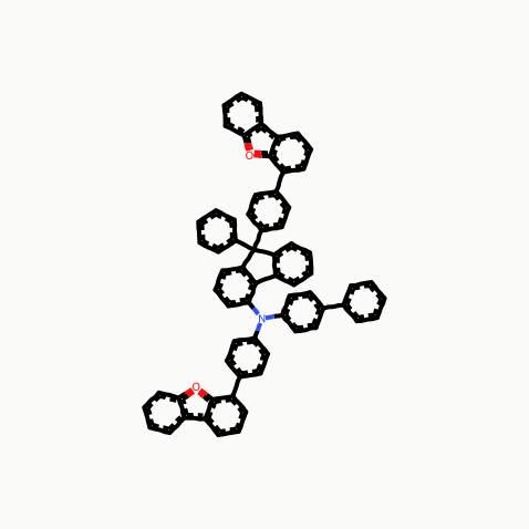 c1ccc(-c2ccc(N(c3ccc(-c4cccc5c4oc4ccccc45)cc3)c3cccc4c3-c3ccccc3C4(c3ccccc3)c3ccc(-c4cccc5c4oc4ccccc45)cc3)cc2)cc1